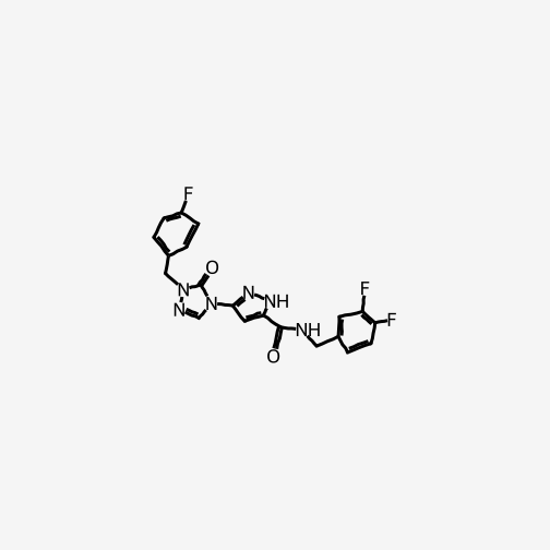 O=C(NCc1ccc(F)c(F)c1)c1cc(-n2cnn(Cc3ccc(F)cc3)c2=O)n[nH]1